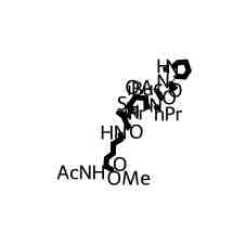 CCCN(C(=O)[C@@H](NC(=O)[C@H]1CCCCN1C)[C@@H](C)CC)[C@H](C[C@@H](OC(C)=O)c1nc(C(=O)NCCCC[C@H](NC(C)=O)C(=O)OC)cs1)C(C)C